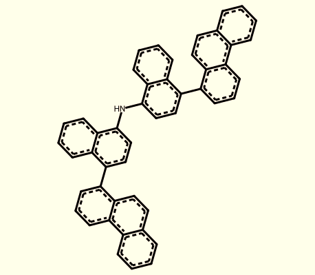 c1ccc2c(c1)ccc1c(-c3ccc(Nc4ccc(-c5cccc6c5ccc5ccccc56)c5ccccc45)c4ccccc34)cccc12